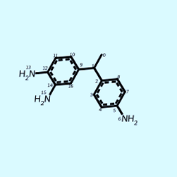 CC(c1ccc(N)cc1)c1ccc(N)c(N)c1